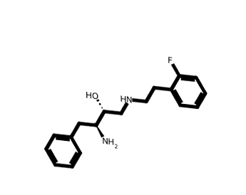 N[C@@H](Cc1ccccc1)[C@H](O)CNCCc1ccccc1F